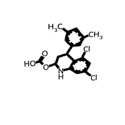 Cc1cc(C)cc(C2CC(OC(=O)O)Nc3cc(Cl)cc(Cl)c32)c1